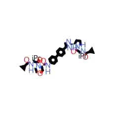 CC(C)[C@@H](NC(=O)C1CC1)C(=O)N1CCOC[C@H]1C(=O)Nc1ccc(-c2ccc(-c3cnc([C@@H]4CCCN4C(=O)[C@H](NC(=O)C4CC4)C(C)C)[nH]3)cc2)cc1